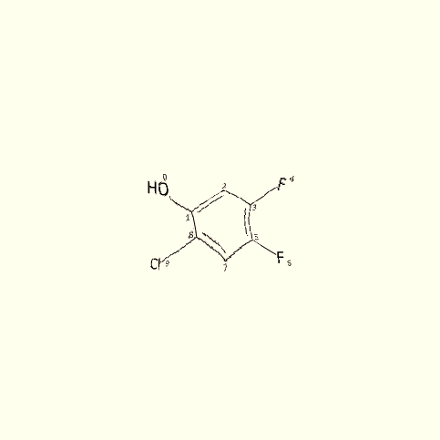 Oc1cc(F)c(F)cc1Cl